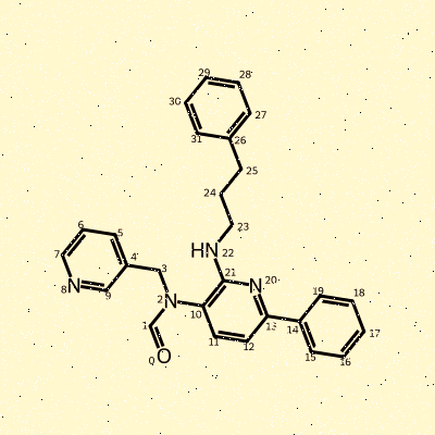 O=CN(Cc1cccnc1)c1ccc(-c2ccccc2)nc1NCCCc1ccccc1